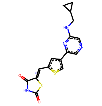 O=C1NC(=O)/C(=C/c2cc(-c3cncc(NCC4CC4)n3)cs2)S1